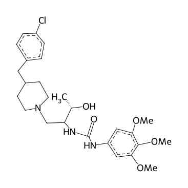 COc1cc(NC(=O)NC(CN2CCC(Cc3ccc(Cl)cc3)CC2)[C@H](C)O)cc(OC)c1OC